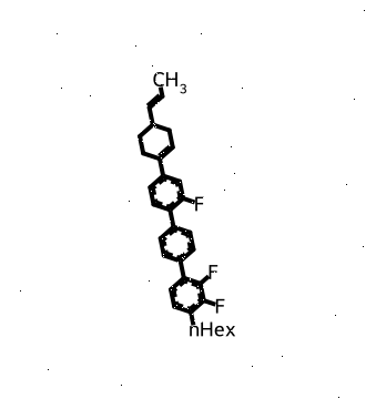 C/C=C/C1CC=C(c2ccc(-c3ccc(-c4ccc(CCCCCC)c(F)c4F)cc3)c(F)c2)CC1